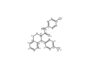 O=C(Nc1ccc(Cl)cc1)N1CCc2cccnc2C1c1ccc(C(F)(F)F)cc1